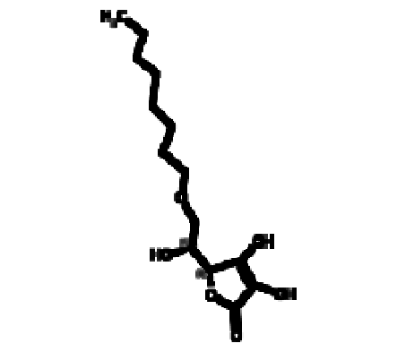 CCCCCCCCOC[C@H](O)[C@H]1OC(=O)C(O)=C1O